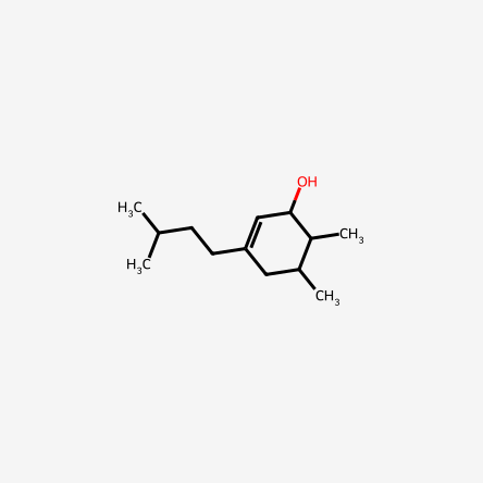 CC(C)CCC1=CC(O)C(C)C(C)C1